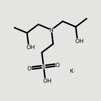 CC(O)CN(CCS(=O)(=O)O)CC(C)O.[K]